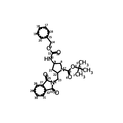 CC(C)(C)OC(=O)N1CC(NC(=O)OCc2ccccc2)CC1CN1C(=O)c2ccccc2C1=O